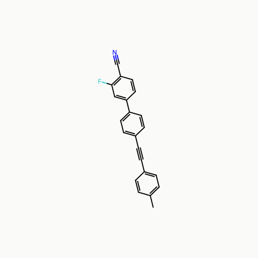 Cc1ccc(C#Cc2ccc(-c3ccc(C#N)c(F)c3)cc2)cc1